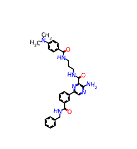 CN(C)c1ccc(C(=O)NCCCNC(=O)c2nc(-c3cccc(C(=O)NCc4ccccc4)c3)cnc2N)cc1